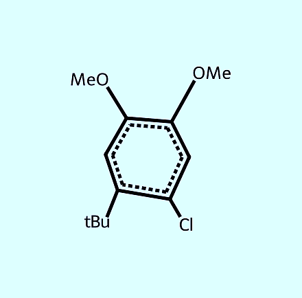 COc1cc(Cl)c(C(C)(C)C)cc1OC